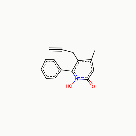 C#CCc1c(C)cc(=O)n(O)c1-c1ccccc1